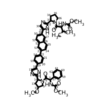 COC(=O)NC(C(=O)N1CC(OC)CC1c1ncc(-c2ccc(-c3ccc4cc(-c5cnc(C6CCCN6C(=O)C(NC(=O)OC)C(C)C)[nH]5)ccc4c3)cc2)[nH]1)c1ccccc1